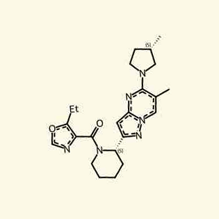 CCc1ocnc1C(=O)N1CCCC[C@H]1c1cc2nc(N3CC[C@H](C)C3)c(C)cn2n1